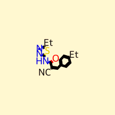 CCc1ccc(C=C(C#N)C(=O)Nc2nnc(CC)s2)cc1